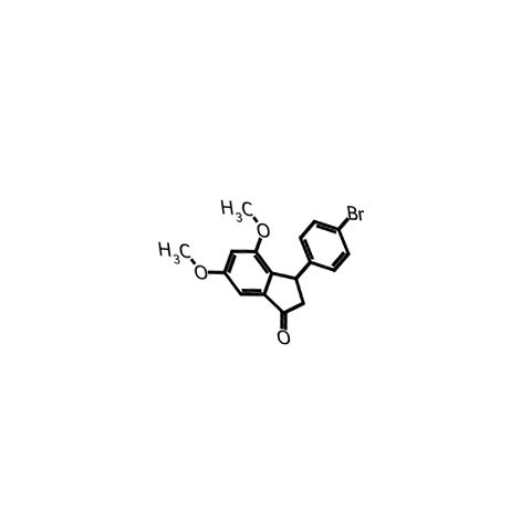 COc1cc(OC)c2c(c1)C(=O)CC2c1ccc(Br)cc1